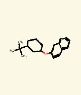 CC(C)(C)C1CCCC(Oc2ccc3c[c]ccc3c2)C1